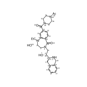 CCN1CCN(C[C@@H](O)[C@@H]2Cc3ccccc3CN2)C(=O)c2ccc(C(=O)N3CCN(C(C)=O)CC3)cc21.Cl